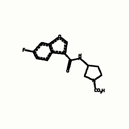 O=C(NC1CCN(C(=O)O)C1)c1coc2cc(F)ccc12